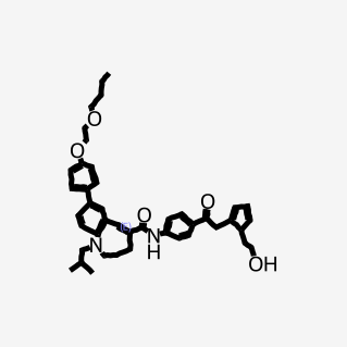 CCCCOCCOc1ccc(-c2ccc3c(c2)/C=C(/C(=O)Nc2ccc(C(=O)CC4=CC=CC4CCO)cc2)CCCN3CC(C)C)cc1